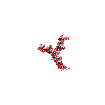 O=P([O][Mo](=[O])(=[O])[O][Mo](=[O])(=[O])[O][Mo](=[O])(=[O])[O][Mo](=[O])(=[O])[OH])([O][Mo](=[O])(=[O])[O][Mo](=[O])(=[O])[O][Mo](=[O])(=[O])[O][Mo](=[O])(=[O])[OH])[O][Mo](=[O])(=[O])[O][Mo](=[O])(=[O])[O][Mo](=[O])(=[O])[O][Mo](=[O])(=[O])[O]O